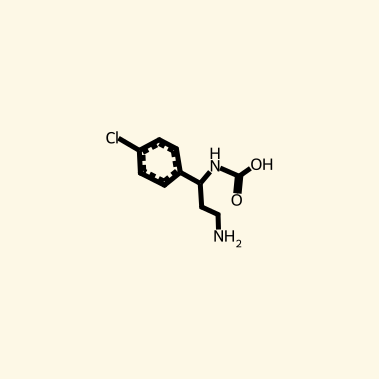 NCCC(NC(=O)O)c1ccc(Cl)cc1